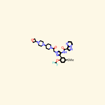 CSc1ccc(OC(F)F)c(-c2nn(CC(=O)N3CCC(N4CCN(C5COC5)CC4)CC3)cc2NC(=O)c2cnn3cccnc23)c1